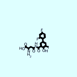 NC(CC(=O)NC(=O)c1cc(-c2ccc(F)cc2F)cc(I)c1O)C(=O)O